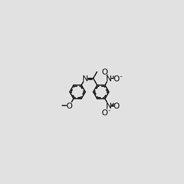 COc1ccc(N=C(C)c2ccc([N+](=O)[O-])cc2[N+](=O)[O-])cc1